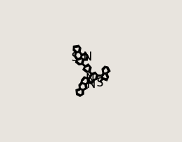 c1ccc2c(c1)Sc1ccc(-c3ccc(-c4cc5c(sc6ccc7ccccc7c65)c5nc6c7cc8ccccc8cc7ccc6n45)cc3)c3cncc-2c13